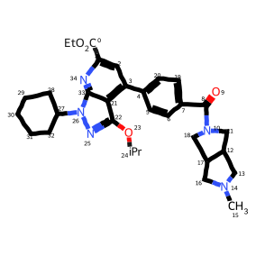 CCOC(=O)c1cc(-c2ccc(C(=O)N3CC4CN(C)CC4C3)cc2)c2c(OC(C)C)nn(C3CCCCC3)c2n1